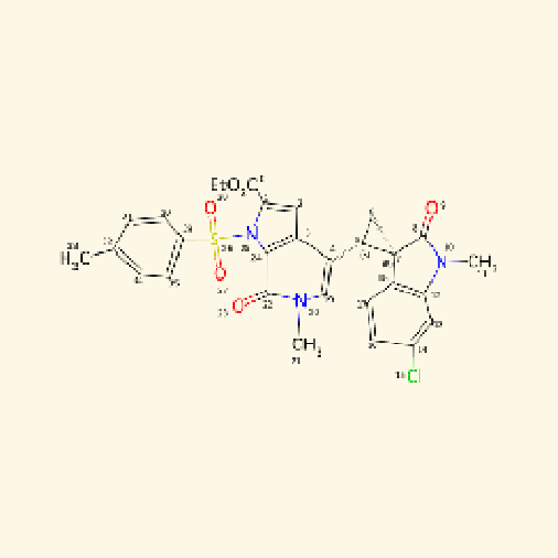 CCOC(=O)c1cc2c([C@@H]3C[C@@]34C(=O)N(C)c3cc(Cl)ccc34)cn(C)c(=O)c2n1S(=O)(=O)c1ccc(C)cc1